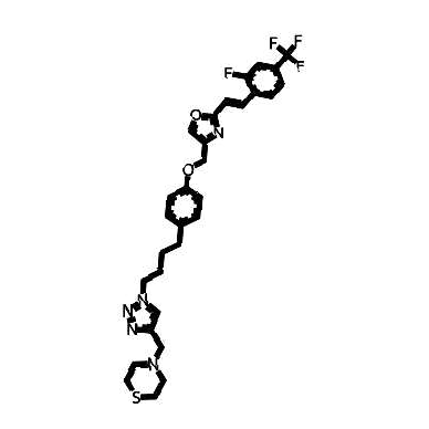 Fc1cc(C(F)(F)F)ccc1C=Cc1nc(COc2ccc(CCCCn3cc(CN4CCSCC4)nn3)cc2)co1